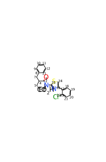 CCN(C(=O)C(CC(=O)O)Cc1ccccc1)c1nc(-c2ccccc2Cl)cs1